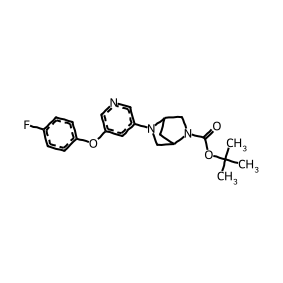 CC(C)(C)OC(=O)N1CC2CC1CN2c1cncc(Oc2ccc(F)cc2)c1